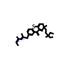 C=C1C2=CC(C)(CCC(C)(CC)CC)CC=C2Sc2ccc(C/C(C)=C/C(C)=C\C)cc21